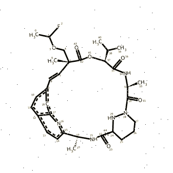 CC(F)OC[C@@]1(C)/C=C/c2ccc3ccc(nc3c2)[C@@H](C)NC(=O)[C@@H]2CCCN(N2)C(=O)[C@H](C)NC(=O)[C@H](C(C)C)OC1=O